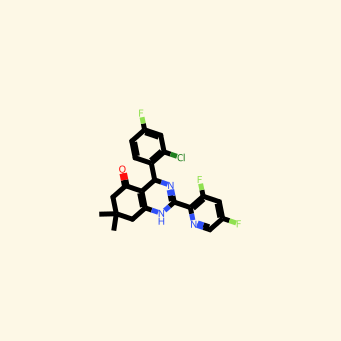 CC1(C)CC(=O)C2=C(C1)NC(c1ncc(F)cc1F)=NC2c1ccc(F)cc1Cl